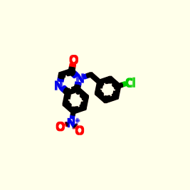 O=c1cnc2cc([N+](=O)[O-])ccc2n1Cc1cccc(Cl)c1